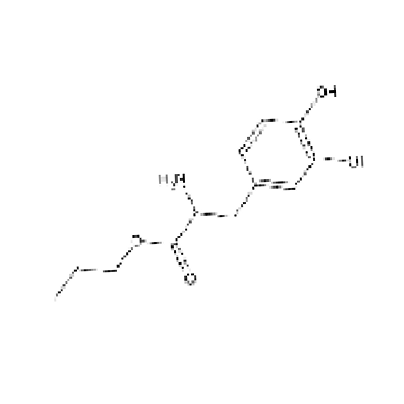 CCCOC(=O)C(N)Cc1ccc(O)c(O)c1